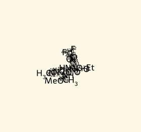 CCOCCOC(=O)n1nc(NC(=O)c2ccc(N3CCN(C)CC3)cc2NC(C)COC)c2c1CCN(S(=O)(=O)c1cc(F)cc(F)c1)C2